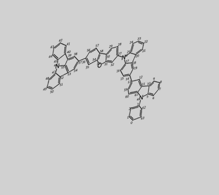 c1ccc(-n2c3ccccc3c3cc(-c4ccc5c(c4)c4ccccc4n5-c4ccc5c(c4)oc4cc(-c6cc7c8ccccc8n8c9ccccc9c(c6)c78)ccc45)ccc32)cc1